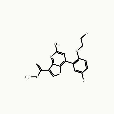 COC(=O)c1csc2c(-c3cc(Cl)ccc3OCCBr)cc(C)nc12